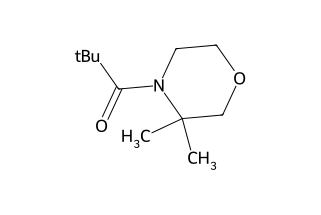 CC(C)(C)C(=O)N1CCOCC1(C)C